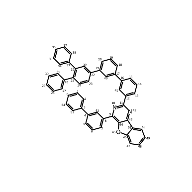 c1ccc(-c2cccc(-c3nc(-c4cccc(-c5cccc(-c6ccc(-c7ccccc7)c(-c7ccccc7)c6)c5)c4)nc4c3oc3ccccc34)c2)cc1